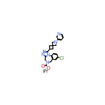 CC(C)OC(=O)N1Cc2cc(Cl)ccc2-n2c(nnc2C2CC3(C2)CN(c2cccnc2)C3)C1